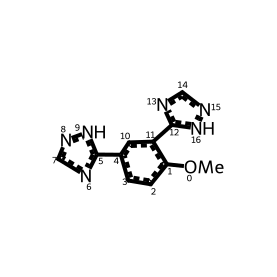 [CH2]Oc1ccc(-c2ncn[nH]2)cc1-c1ncn[nH]1